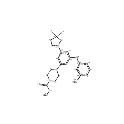 CC(C)(C)OC(=O)N1CCC(c2cc(Nc3cc(C#N)ccn3)nc(N3CCC(F)(F)C3)c2)CC1